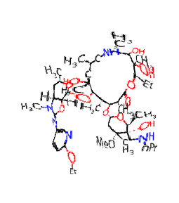 CCCNC[C@]1(O)[C@H](C)O[C@@H](O[C@H]2[C@H](C)[C@@H](O[C@@H]3O[C@H](C)C[C@H]4[C@H]3O/C(=N\c3ccc(OCC)nc3)N4C)[C@](C)(O)C[C@@H](C)CN[C@H](C)[C@@H](O)[C@](C)(O)[C@@H](CC)OC(=O)[C@@H]2C)C[C@@]1(C)OC